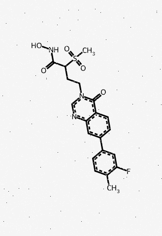 Cc1ccc(-c2ccc3c(=O)n(CCC(C(=O)NO)S(C)(=O)=O)cnc3c2)cc1F